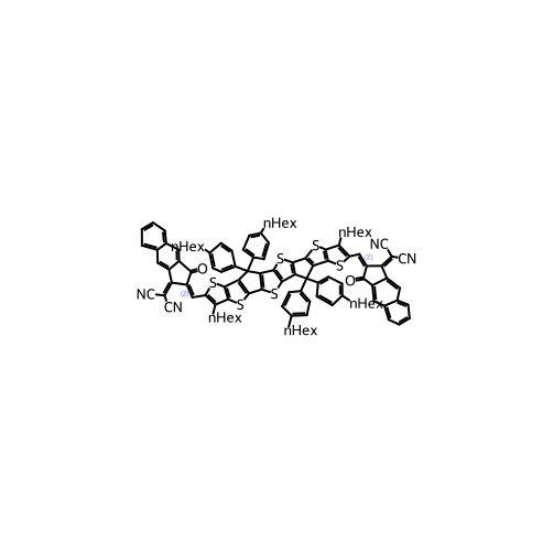 CCCCCCc1ccc(C2(c3ccc(CCCCCC)cc3)c3c(sc4c(CCCCCC)c(/C=C5\C(=O)c6cc7ccccc7cc6C5=C(C#N)C#N)sc34)-c3sc4c5c(sc4c32)-c2sc3c(CCCCCC)c(/C=C4\C(=O)c6cc7ccccc7cc6C4=C(C#N)C#N)sc3c2C5(c2ccc(CCCCCC)cc2)c2ccc(CCCCCC)cc2)cc1